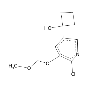 COCOc1cc(C2(O)CCC2)cnc1Cl